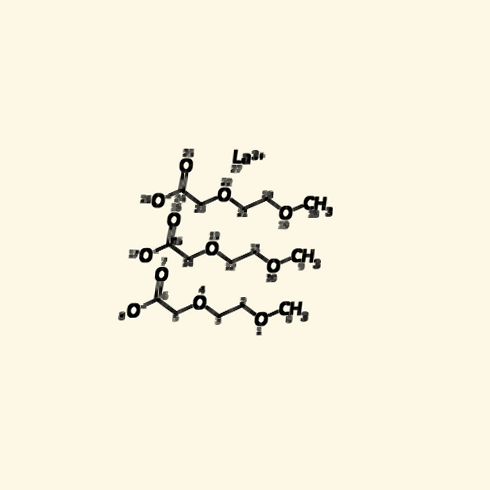 COCCOCC(=O)[O-].COCCOCC(=O)[O-].COCCOCC(=O)[O-].[La+3]